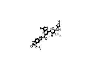 C[C@H](NC(=O)c1cc(C(=O)NCc2ccc3oc(=O)n(C)c3c2)nc2c(F)cnn12)C(=O)NC1CNC1